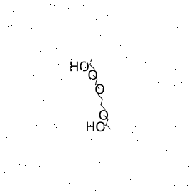 CC(O)COCCCCOCCOCC(C)O